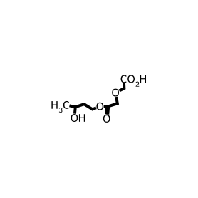 CC(O)CCOC(=O)COCC(=O)O